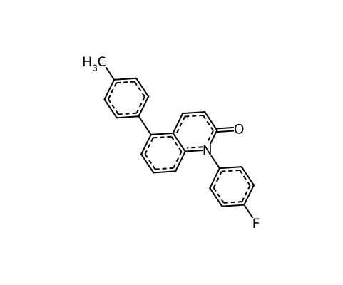 Cc1ccc(-c2cccc3c2ccc(=O)n3-c2ccc(F)cc2)cc1